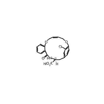 O=C1N[C@H](C(=O)O)Cc2ccc(c(Cl)c2)OCC=CCOc2ccccc21